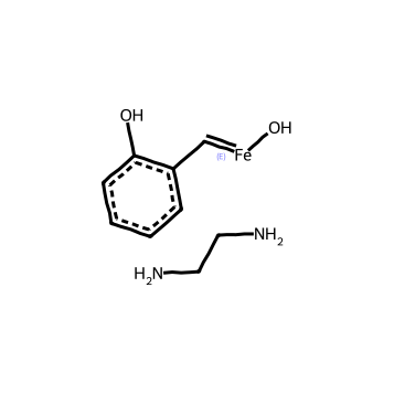 NCCN.[OH]/[Fe]=[CH]/c1ccccc1O